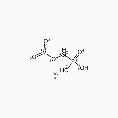 [O]=[V](=[O])[O][SiH2]P(=O)(O)O.[Y]